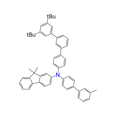 Cc1cccc(-c2ccc(N(c3ccc(-c4cccc(-c5cc(C(C)(C)C)cc(C(C)(C)C)c5)c4)cc3)c3ccc4c(c3)C(C)(C)c3ccccc3-4)cc2)c1